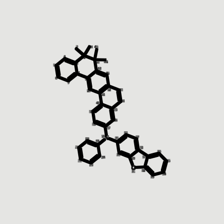 CC1(C)c2ccccc2-c2cc3c(ccc4cc(N(c5ccccc5)c5ccc6c(c5)oc5ccccc56)ccc43)cc2C1(C)C